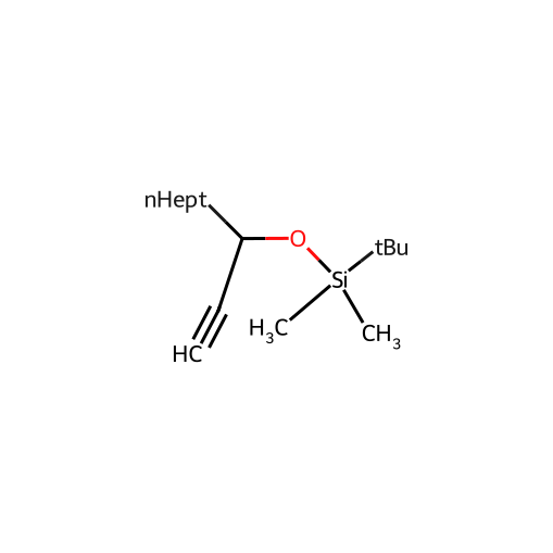 C#CC(CCCCCCC)O[Si](C)(C)C(C)(C)C